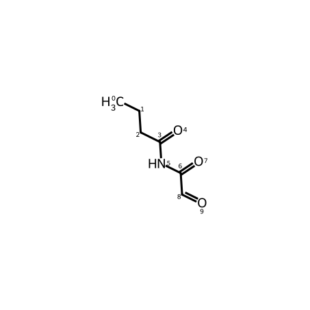 CCCC(=O)NC(=O)C=O